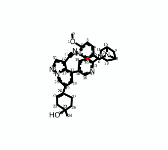 COc1ccc(CN2C3CC2CN(c2ccc(-c4cc(C5=CCC(C)(O)CC5)cn5ncc(C#N)c45)cn2)C3)cn1